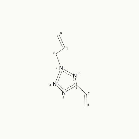 C=CCn1nnc(C=C)n1